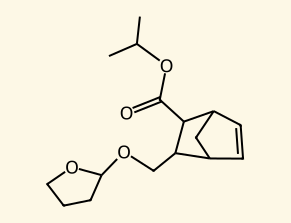 CC(C)OC(=O)C1C2C=CC(C2)C1COC1CCCO1